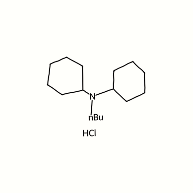 CCCCN(C1CCCCC1)C1CCCCC1.Cl